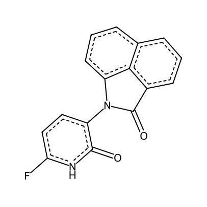 O=C1c2cccc3cccc(c23)N1c1ccc(F)[nH]c1=O